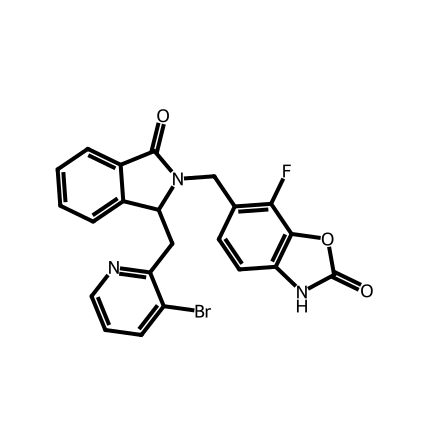 O=C1c2ccccc2C(Cc2ncccc2Br)N1Cc1ccc2[nH]c(=O)oc2c1F